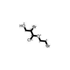 OCC(Br)C(Cl)OCCBr